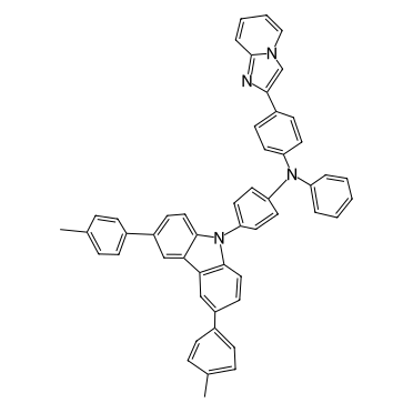 Cc1ccc(-c2ccc3c(c2)c2cc(-c4ccc(C)cc4)ccc2n3-c2ccc(N(c3ccccc3)c3ccc(-c4cn5ccccc5n4)cc3)cc2)cc1